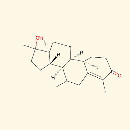 CC1=C2CC(C)[C@@H]3[C@@H](CC[C@@]4(C)[C@H]3CCC4(C)O)[C@@]2(C)CCC1=O